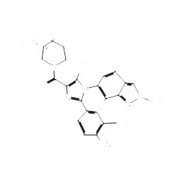 Cn1cc2ccc(-n3c(-c4ccc(C#N)c(F)c4)nc(C(=O)N4CCC[C@@H](N)C4)c3Cl)cc2n1